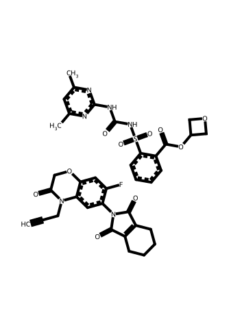 C#CCN1C(=O)COc2cc(F)c(N3C(=O)C4=C(CCCC4)C3=O)cc21.Cc1cc(C)nc(NC(=O)NS(=O)(=O)c2ccccc2C(=O)OC2COC2)n1